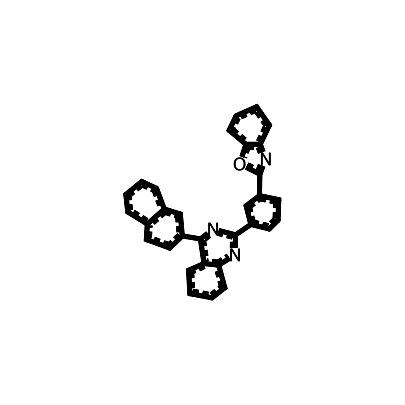 c1cc(-c2nc(-c3ccc4ccccc4c3)c3ccccc3n2)cc(-c2nc3ccccc3o2)c1